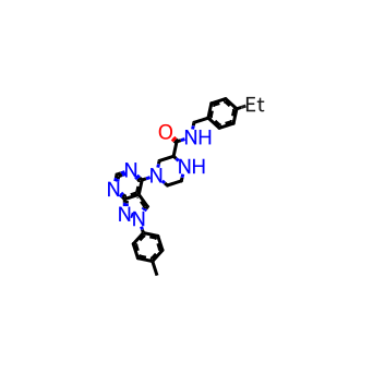 CCc1ccc(CNC(=O)C2CN(c3ncnc4nn(-c5ccc(C)cc5)cc34)CCN2)cc1